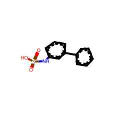 O=S(=O)(O)Nc1cccc(-c2ccccc2)c1